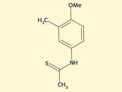 COc1ccc(NC(C)=S)cc1C